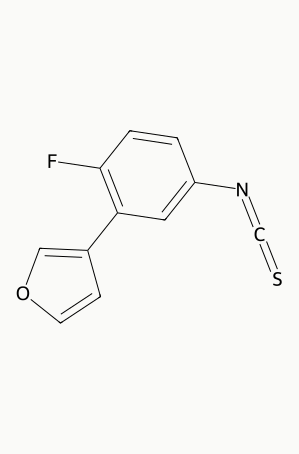 Fc1ccc(N=C=S)cc1-c1ccoc1